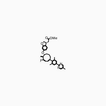 C=C1/C(F)=C\C=C(\c2c(C)cc(-c3ncc(C)cn3)cc2C)CCC[C@H]1Oc1ccc2c(c1)OC[C@H]2CC(=O)OC